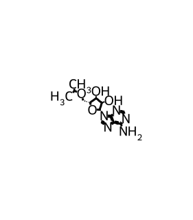 CC(C)OC[C@H]1O[C@@H](n2cnc3c(N)ncnc32)[C@H](O)[C@@H]1O